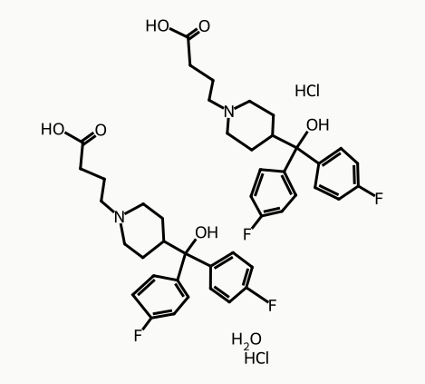 Cl.Cl.O.O=C(O)CCCN1CCC(C(O)(c2ccc(F)cc2)c2ccc(F)cc2)CC1.O=C(O)CCCN1CCC(C(O)(c2ccc(F)cc2)c2ccc(F)cc2)CC1